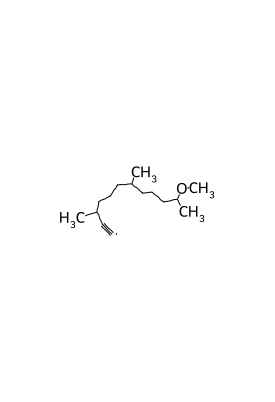 [C]#CC(C)CCCC(C)CCCC(C)OC